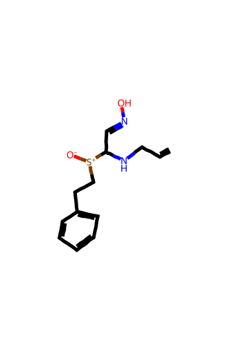 C=CCNC(C=NO)[S+]([O-])CCc1ccccc1